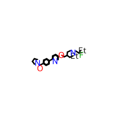 CCC(F)(CC)CN1CCC(COc2ccc(-c3ccc(C(=O)N4CCCC4)cc3)nc2)CC1